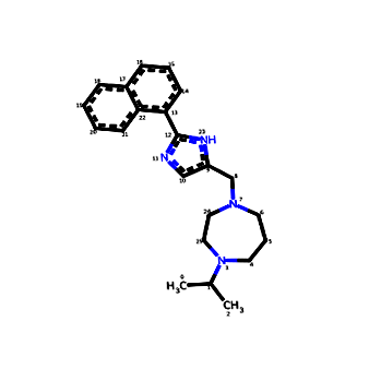 CC(C)N1CCCN(Cc2cnc(-c3cccc4ccccc34)[nH]2)CC1